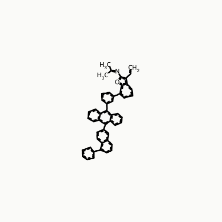 C=Cc1c(N=C(C)C)oc2c(-c3cccc(-c4c5ccccc5c(-c5ccc6c(-c7ccccc7)cccc6c5)c5ccccc45)c3)cccc12